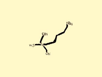 CCCCCCC[Si](C)(O)O